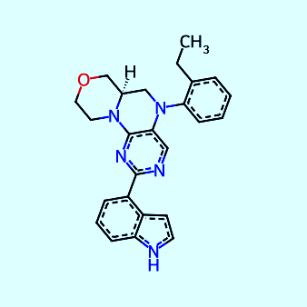 CCc1ccccc1N1C[C@@H]2COCCN2c2nc(-c3cccc4[nH]ccc34)ncc21